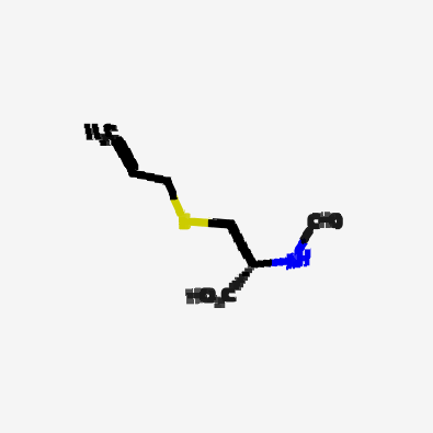 C=CCSC[C@H](NC=O)C(=O)O